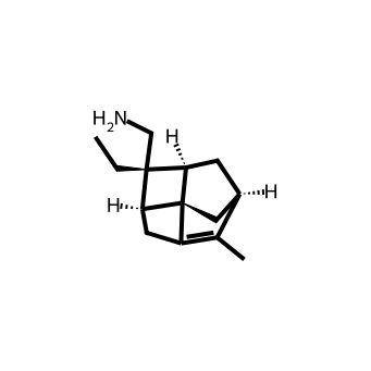 CC[C@@]1(CN)[C@H]2C[C@@H]3C[C@]24C(=C3C)C[C@@H]14